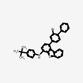 CC(C)(C)c1ccc(Nc2ccc(-c3ccc(-c4ccccc4)c(Br)c3)c3c2oc2ccccc23)cc1